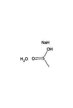 CS(=O)O.O.[NaH]